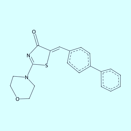 O=C1N=C(N2CCOCC2)SC1=Cc1ccc(-c2ccccc2)cc1